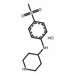 CS(=O)(=O)c1ccc(NC2CCNCC2)cc1.Cl